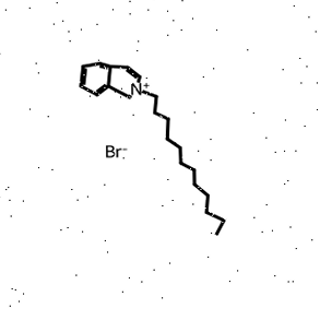 CCCCCCCCCCCC[n+]1ccc2ccccc2c1.[Br-]